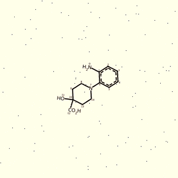 Nc1ccccc1N1CCC(O)(C(=O)O)CC1